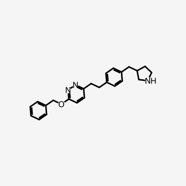 c1ccc(COc2ccc(CCc3ccc(CC4CCNC4)cc3)nn2)cc1